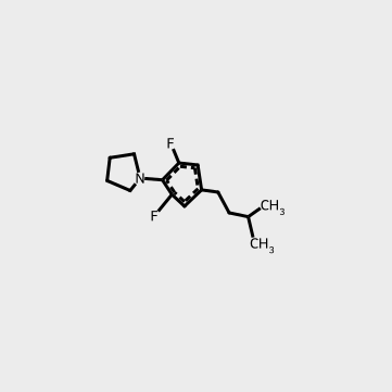 CC(C)CCc1cc(F)c(N2CCCC2)c(F)c1